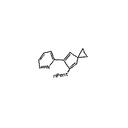 CCCCCC1=CC2(C=C1c1ccccn1)CC2